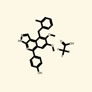 COc1cc2c(-c3ccc(O)cc3)nc3[nH]ncc3c2c(Cc2ccccc2C)c1OC.O=C(O)C(F)(F)F